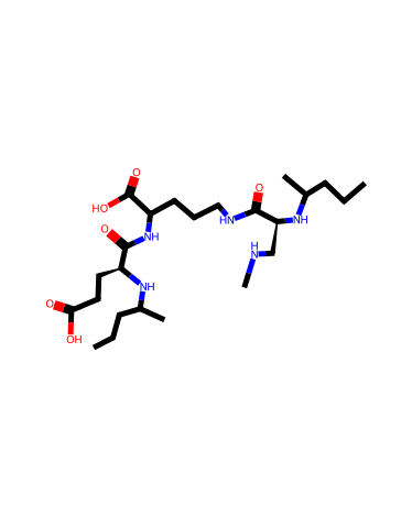 CCCC(C)N[C@@H](CNC)C(=O)NCCCC(NC(=O)[C@H](CCC(=O)O)NC(C)CCC)C(=O)O